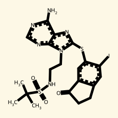 CC(C)(C)S(=O)(=O)NCCn1c(Sc2cc3c(cc2I)CCC3=O)nc2c(N)ncnc21